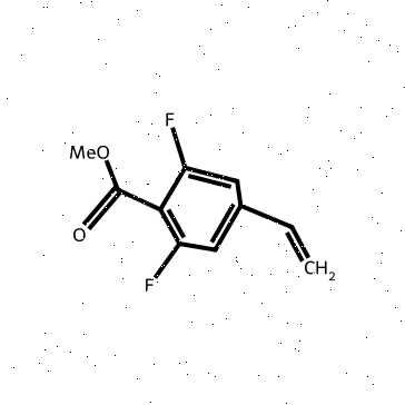 C=Cc1cc(F)c(C(=O)OC)c(F)c1